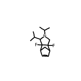 CC(C)C1N(C(C)C)CC2(F)C3C=CC(C3)C12F